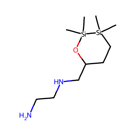 C[Si]1(C)CCC(CNCCN)O[Si]1(C)C